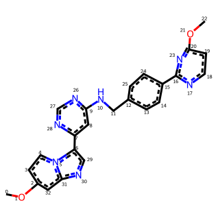 COc1ccn2c(-c3cc(NCc4ccc(-c5nccc(OC)n5)cc4)ncn3)cnc2c1